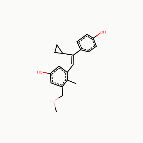 CBCc1cc(O)cc(/C=C(/c2ccc(O)cc2)C2CC2)c1C